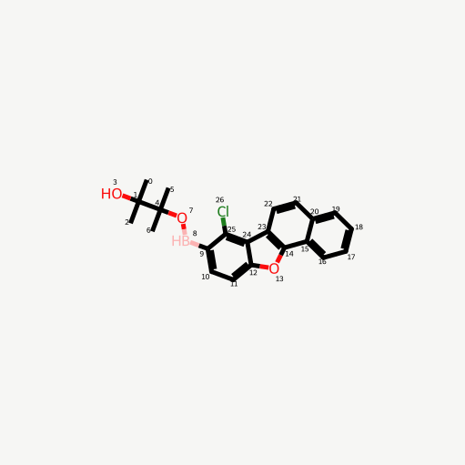 CC(C)(O)C(C)(C)OBc1ccc2oc3c4ccccc4ccc3c2c1Cl